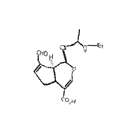 CCOC(C)OC1OC=C(C(=O)O)C2CC=C(C=O)[C@@H]12